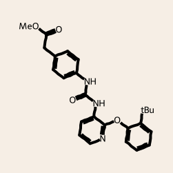 COC(=O)Cc1ccc(NC(=O)Nc2cccnc2Oc2ccccc2C(C)(C)C)cc1